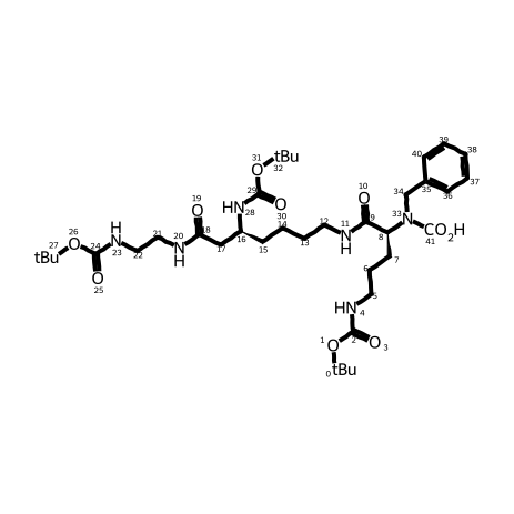 CC(C)(C)OC(=O)NCCC[C@@H](C(=O)NCCCC[C@@H](CC(=O)NCCNC(=O)OC(C)(C)C)NC(=O)OC(C)(C)C)N(Cc1ccccc1)C(=O)O